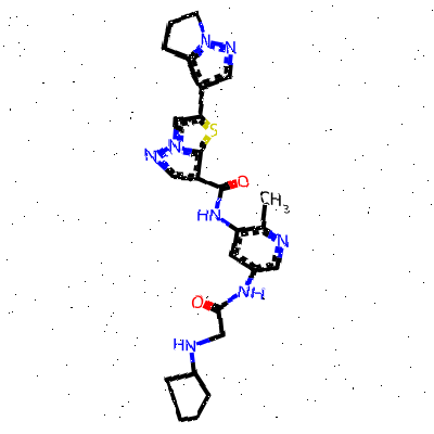 Cc1ncc(NC(=O)CNC2CCCC2)cc1NC(=O)c1cnn2cc(-c3cnn4c3CCC4)sc12